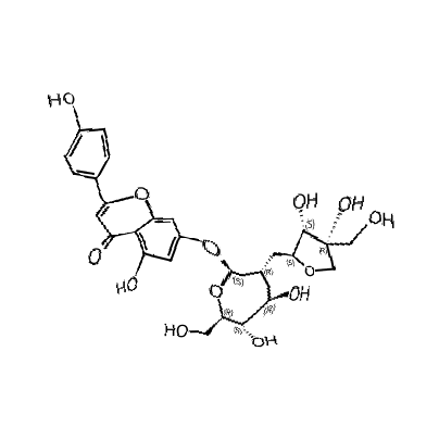 O=c1cc(-c2ccc(O)cc2)oc2cc(O[C@@H]3O[C@H](CO)[C@@H](O)[C@H](O)[C@H]3C[C@@H]3OC[C@](O)(CO)[C@H]3O)cc(O)c12